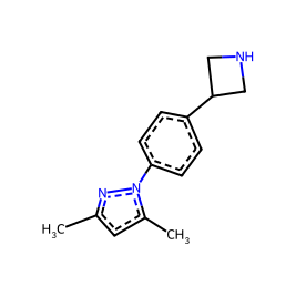 Cc1cc(C)n(-c2ccc(C3CNC3)cc2)n1